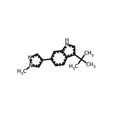 Cn1cc(-c2ccc3c(C(C)(C)C)c[nH]c3c2)cn1